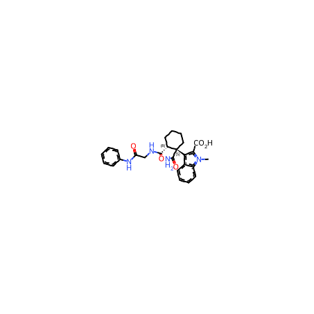 Cn1c(C(=O)O)c([C@]2(C(N)=O)CCCC[C@H]2C(=O)NCC(=O)Nc2ccccc2)c2ccccc21